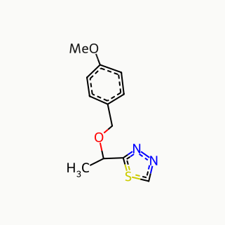 COc1ccc(COC(C)c2nncs2)cc1